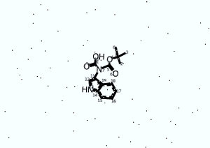 CC(C)(C)OC(=O)N(C(=O)O)c1c[nH]c2ccccc12